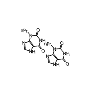 CCCn1c(=O)[nH]c(=O)c2[nH]cnc21.CCCn1c(=O)[nH]c(=O)c2[nH]cnc21